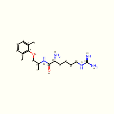 Cc1cccc(C)c1OCC(C)NC(=O)[C@@H](N)CCCCNC(=N)N